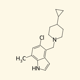 Cc1cc(Cl)c(CN2CCC(C3CC3)CC2)c2cc[nH]c12